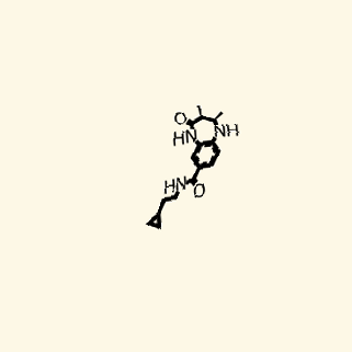 C[C@@H]1C(=O)Nc2cc(C(=O)NCCC3CC3)ccc2N[C@@H]1C